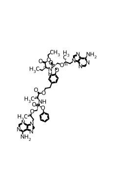 CCOC(=O)[C@H](CC)N[P@@](=O)(CO[C@H](C)Cn1cnc2c(N)ncnc21)Oc1ccc(CCOC(=O)[C@H](C)N[P@](=O)(CO[C@H](C)Cn2cnc3c(N)ncnc32)Oc2ccccc2)cc1